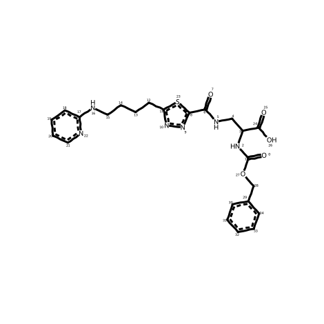 O=C(NC(CNC(=O)c1nnc(CCCCNc2ccccn2)s1)C(=O)O)OCc1ccccc1